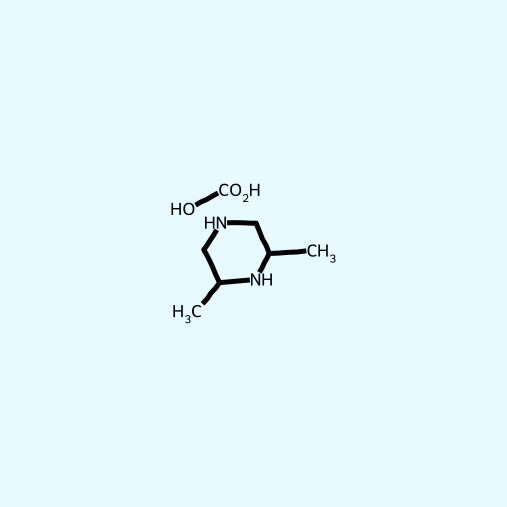 CC1CNCC(C)N1.O=C(O)O